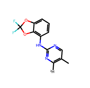 [2H]c1nc(Nc2cccc3c2OC(F)(F)O3)ncc1C